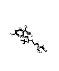 CC1(C)C[C@H](CCCN(C=O)C=O)CN1c1nc(Br)ccc1C(N)=O